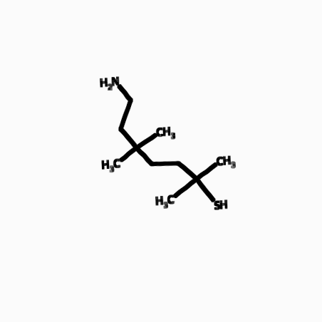 CC(C)(S)CCC(C)(C)CCN